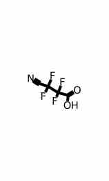 N#CC(F)(F)C(F)(F)C(=O)O